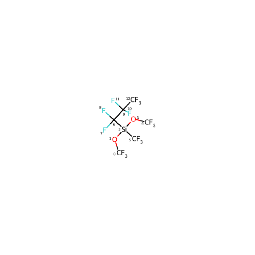 FC(F)(F)O[Si](OC(F)(F)F)(C(F)(F)F)C(F)(F)C(F)(F)C(F)(F)F